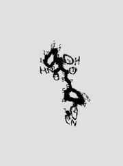 N#CCOc1ccc(C=CC(=O)c2c(O)c3ccccc3[nH]c2=O)cc1